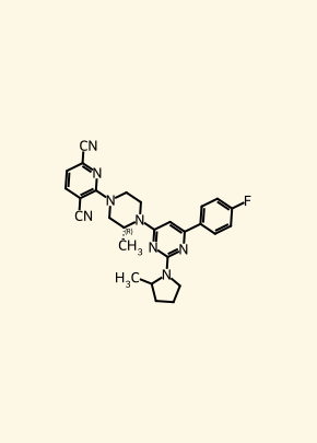 CC1CCCN1c1nc(-c2ccc(F)cc2)cc(N2CCN(c3nc(C#N)ccc3C#N)C[C@H]2C)n1